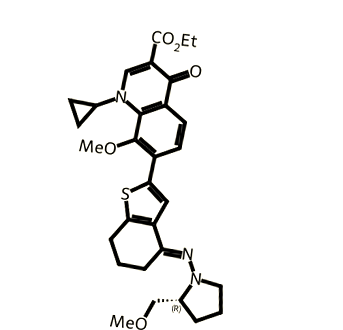 CCOC(=O)c1cn(C2CC2)c2c(OC)c(-c3cc4c(s3)CCCC4=NN3CCC[C@@H]3COC)ccc2c1=O